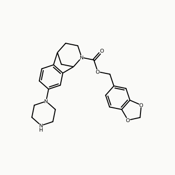 O=C(OCc1ccc2c(c1)OCO2)N1CCC2CC1c1cc(N3CCNCC3)ccc12